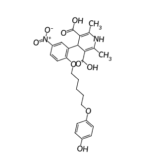 CC1=C(C(=O)O)C(c2cc([N+](=O)[O-])ccc2OCCCCCOc2ccc(O)cc2)C(C(=O)O)=C(C)N1